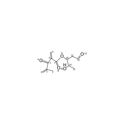 C=C(C)C(=O)C(=C)C(=O)OC(CC=O)C(C)O